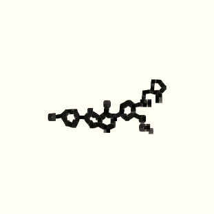 COc1cc(-n2cnc3cc(-c4ccc(Cl)cc4)sc3c2=O)ccc1NCC1CCCN1